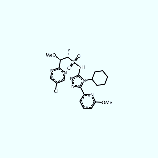 COc1cccc(-c2nnc(NS(=O)(=O)[C@@H](C)[C@H](OC)c3ncc(Cl)cn3)n2C2CCCCC2)n1